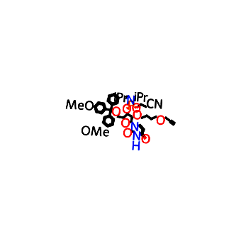 C#CCOCCCCOC1C(OP(OCCC#N)N(C(C)C)C(C)C)C(COC(c2ccccc2)(c2ccc(OC)cc2)c2ccc(OC)cc2)OC1n1ccc(=O)[nH]c1=O